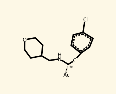 CC(=O)[C@@H](Cc1ccc(Cl)cc1)NCC1CCOCC1